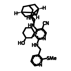 CSc1ncccc1CNc1ncc(C#N)c(NC[C@]23CC4C[C@H](C2)[C@@H](NC[C@H]2CC[C@H](O)CC2)[C@@H](C4)C3)n1